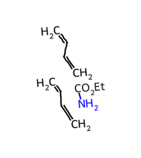 C=CC=C.C=CC=C.CCOC(N)=O